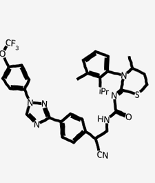 Cc1cccc(N2/C(=N/C(=O)NCC(C#N)c3ccc(-c4ncn(-c5ccc(OC(F)(F)F)cc5)n4)cc3)SCCC2C)c1C(C)C